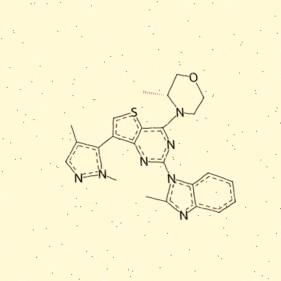 Cc1cnn(C)c1-c1csc2c(N3CCOC[C@H]3C)nc(-n3c(C)nc4ccccc43)nc12